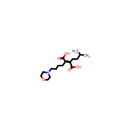 CC(C)CCC(C(=O)O)=C(CCCCN1CCOCC1)C(=O)O